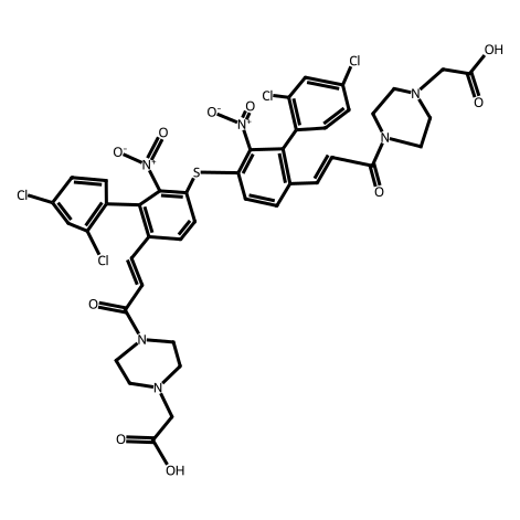 O=C(O)CN1CCN(C(=O)/C=C/c2ccc(Sc3ccc(/C=C/C(=O)N4CCN(CC(=O)O)CC4)c(-c4ccc(Cl)cc4Cl)c3[N+](=O)[O-])c([N+](=O)[O-])c2-c2ccc(Cl)cc2Cl)CC1